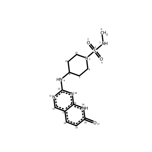 CNS(=O)(=O)N1CCC(Nc2ncc3ccc(=O)[nH]c3n2)CC1